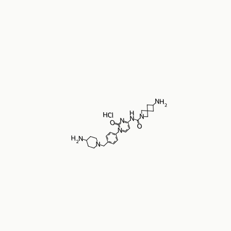 Cl.NC1CCN(Cc2ccc(-n3ccc(NC(=O)N4CC5(CC(N)C5)C4)nc3=O)cc2)CC1